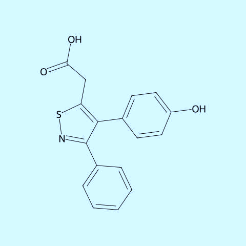 O=C(O)Cc1snc(-c2ccccc2)c1-c1ccc(O)cc1